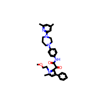 COCCn1c(C)cc(-c2ccccc2)c1C(=O)C(=O)Nc1ccc(N2CCCN(c3cc(C)cc(C)n3)CC2)cc1